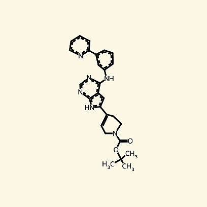 CC(C)(C)OC(=O)N1CC=C(c2cc3c(Nc4cccc(-c5ccccn5)c4)ncnc3[nH]2)CC1